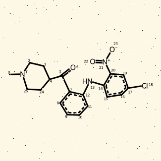 CN1CCC(C(=O)c2ccccc2Nc2ccc(Cl)cc2[N+](=O)[O-])CC1